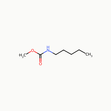 [CH2]OC(=O)NCCCCC